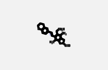 Cc1c(/C=C/c2ccc3c(c2)CCCO3)c(CC(=O)O)c(C)c2c1CN(C=O)C2